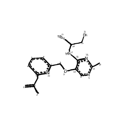 C=C(C)c1cccc(COc2cnc(C)nc2NC(CO)CCCC)n1